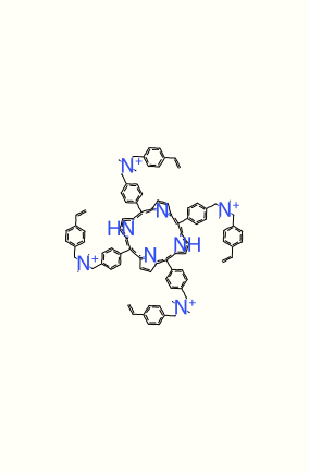 C=Cc1ccc(C[N+](C)(C)Cc2ccc(-c3c4nc(c(-c5ccc(C[N+](C)(C)Cc6ccc(C=C)cc6)cc5)c5ccc([nH]5)c(-c5ccc(C[N+](C)(C)Cc6ccc(C=C)cc6)cc5)c5nc(c(-c6ccc(C[N+](C)(C)Cc7ccc(C=C)cc7)cc6)c6ccc3[nH]6)C=C5)C=C4)cc2)cc1